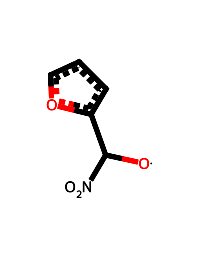 [O]C(c1ccco1)[N+](=O)[O-]